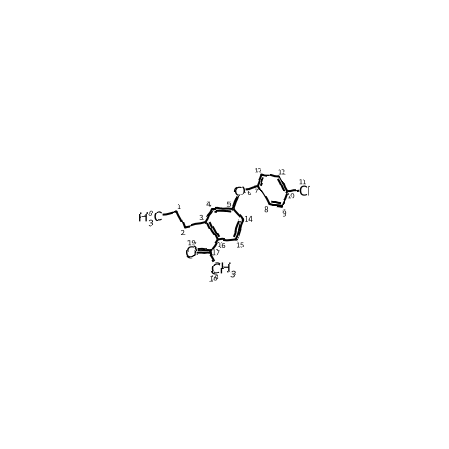 CCCc1cc(Oc2ccc(Cl)cc2)ccc1C(C)=O